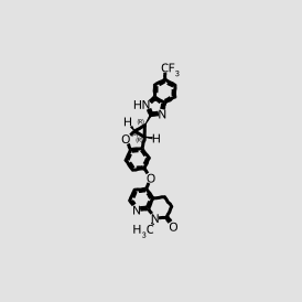 CN1C(=O)CCc2c(Oc3ccc4c(c3)[C@@H]3[C@H](O4)[C@H]3c3nc4ccc(C(F)(F)F)cc4[nH]3)ccnc21